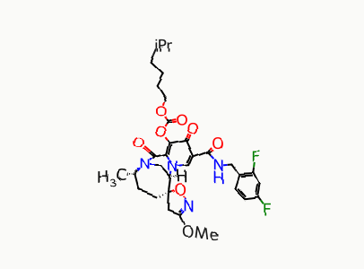 COC1=NO[C@@]2(CC[C@H](C)N3C[C@H]2n2cc(C(=O)NCc4ccc(F)cc4F)c(=O)c(OC(=O)OCCCCC(C)C)c2C3=O)C1